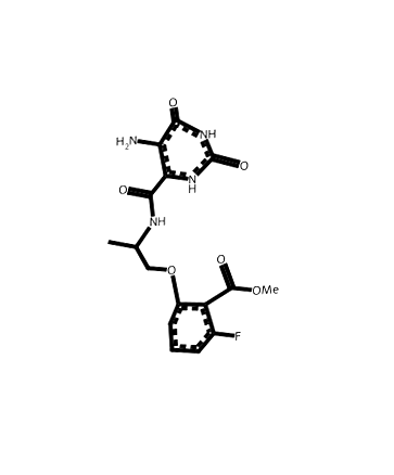 COC(=O)c1c(F)cccc1OCC(C)NC(=O)c1[nH]c(=O)[nH]c(=O)c1N